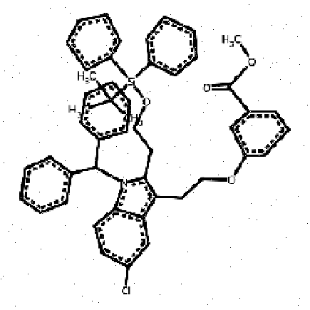 COC(=O)c1cccc(OCCc2c(CCO[Si](c3ccccc3)(c3ccccc3)C(C)(C)C)n(C(c3ccccc3)c3ccccc3)c3ccc(Cl)cc23)c1